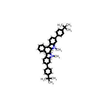 Cn1c2cc(-c3ccc(C(C)(C)C)cc3)ccc2c2c3ccccc3c3c4ccc(-c5ccc(C(C)(C)C)cc5)cc4n(C)c3c21